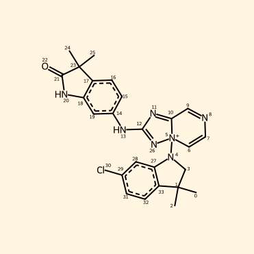 CC1(C)CN([N+]23C=CN=CC2=NC(Nc2ccc4c(c2)NC(=O)C4(C)C)=N3)c2cc(Cl)ccc21